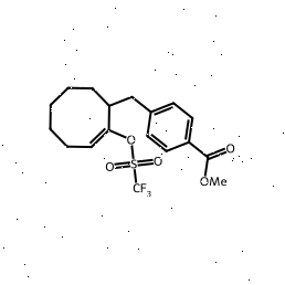 COC(=O)c1ccc(CC2CCCCC/C=C\2OS(=O)(=O)C(F)(F)F)cc1